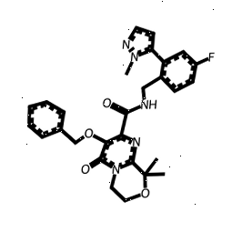 Cn1nccc1-c1cc(F)ccc1CNC(=O)c1nc2n(c(=O)c1OCc1ccccc1)CCOC2(C)C